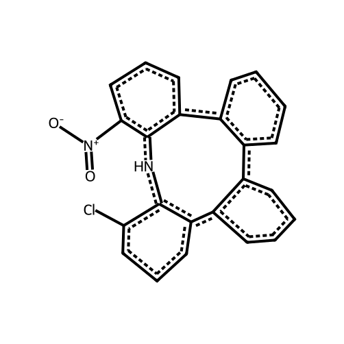 O=[N+]([O-])c1cccc2c1[nH]c1c(Cl)cccc1c1ccccc1c1ccccc21